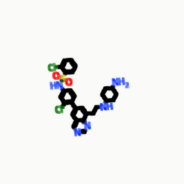 NC1CCC(NCCc2cc(-c3ccc(NS(=O)(=O)c4ccccc4Cl)cc3Cl)cc3cncnc23)CC1